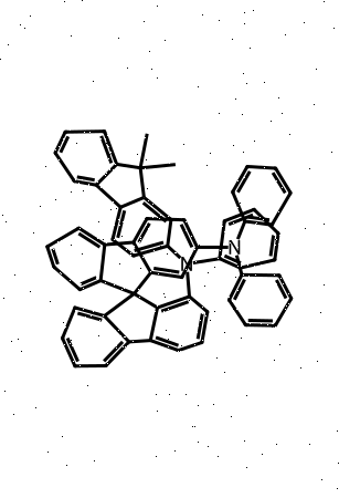 CC1(C)c2ccccc2-c2ccc(N(c3ccccc3)c3cccc4c3C3(c5ccccc5-c5ccc(N(c6ccccc6)c6ccccc6)cc53)c3ccccc3-4)cc21